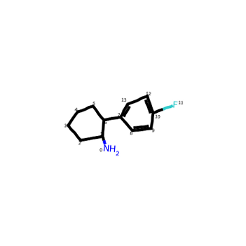 NC1CCCCC1c1ccc(F)cc1